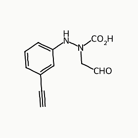 C#Cc1cccc(NN(CC=O)C(=O)O)c1